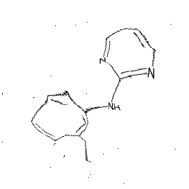 Cc1[c]cccc1Nc1ncccn1